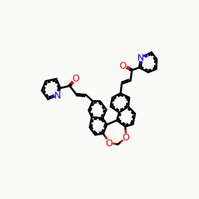 O=C(/C=C/c1ccc2c3c(ccc2c1)OCOc1ccc2cc(/C=C/C(=O)c4ccccn4)ccc2c1-3)c1ccccn1